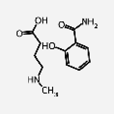 CNCCCC(=O)O.NC(=O)c1ccccc1O